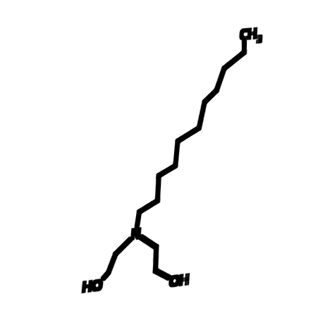 CCCCCCCCCCCN(CCO)CCO